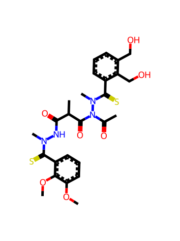 COc1cccc(C(=S)N(C)NC(=O)C(C)C(=O)N(C(C)=O)N(C)C(=S)c2cccc(CO)c2CO)c1OC